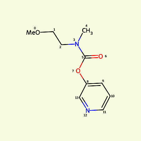 COCCN(C)C(=O)Oc1cccnc1